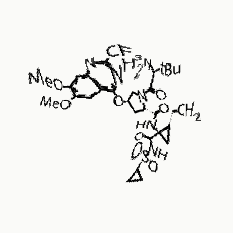 C=C[C@@H]1C[C@]1(NC(=O)[C@@H]1C[C@@H](Oc2nc(C(F)(F)F)nc3cc(OC)c(OC)cc23)CN1C(=O)[C@@H](N)C(C)(C)C)C(=O)NS(=O)(=O)C1CC1